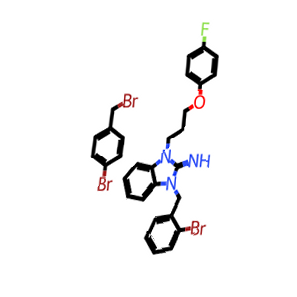 BrCc1ccc(Br)cc1.N=c1n(CCCOc2ccc(F)cc2)c2ccccc2n1Cc1ccccc1Br